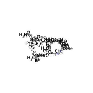 COc1cc2cc(c1Cl)N(C)C(=O)C[C@H](OC(=O)Nc1ccc(NC(=O)[C@H](CCCNC(N)=O)NC(=O)[C@@H](NC(=O)CCCCC(C)OC(C=O)(CBr)CBr)C(C)C)c(C(F)(F)F)c1)[C@]1(C)O[C@H]1[C@H](C)[C@@H]1C[C@@](O)(NC(=O)O1)[C@H](OC)/C=C/C=C(\C)C2